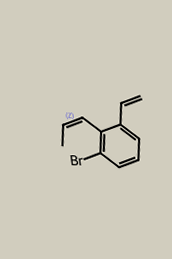 C=Cc1cccc(Br)c1/C=C\C